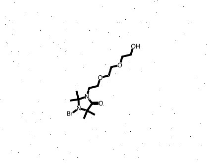 CC1(C)C(=O)N(CCOCCOCCO)C(C)(C)N1Br